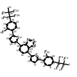 CC(F)(F)C(F)(F)c1ccc(-c2ccc(-c3ccc(-c4ccc(-c5ccc(C(F)(F)C(C)(F)F)cc5F)s4)c4nsnc34)s2)c(F)c1